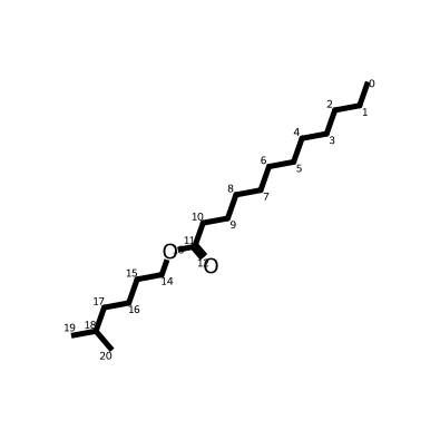 CCCCCCCCCCCC(=O)OCCCCC(C)C